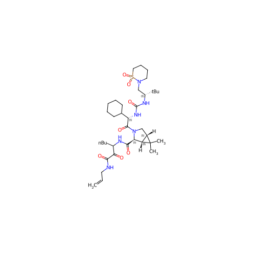 C=CCNC(=O)C(=O)C(CCCC)NC(=O)[C@@H]1[C@@H]2[C@H](CN1C(=O)[C@@H](NC(=O)N[C@H](CN1CCCCS1(=O)=O)C(C)(C)C)C1CCCCC1)C2(C)C